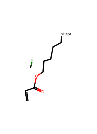 C=CC(=O)OCCCCCCCCCCCC.CF